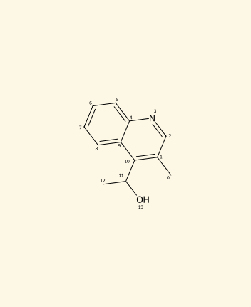 Cc1cnc2ccccc2c1C(C)O